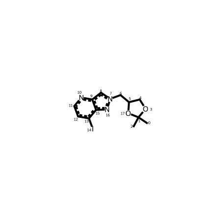 CC1(C)OCC(Cn2cc3nccc(I)c3n2)O1